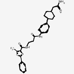 NC(=O)CC1CCC(c2ccc(NC(=O)CCNC(=O)c3nc(-c4ccccc4)oc3C(F)(F)F)cc2)CC1